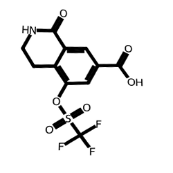 O=C(O)c1cc(OS(=O)(=O)C(F)(F)F)c2c(c1)C(=O)NCC2